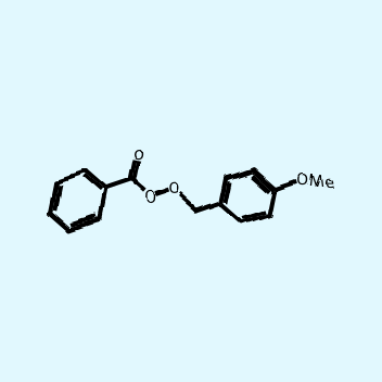 COc1ccc(COOC(=O)c2ccccc2)cc1